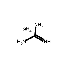 N=C(N)N.[SiH4]